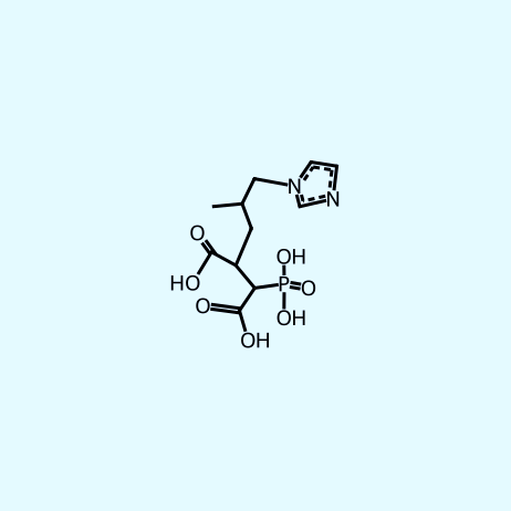 CC(CC(C(=O)O)C(C(=O)O)P(=O)(O)O)Cn1ccnc1